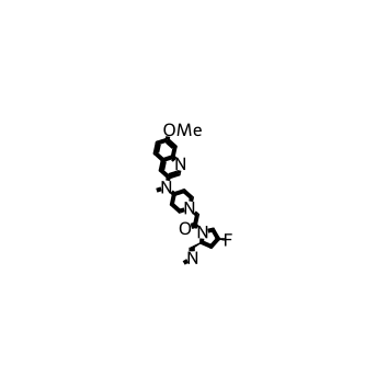 CN=C[C@@H]1C[C@H](F)CN1C(=O)CN1CCC(N(C)c2cnc3cc(OC)ccc3c2)CC1